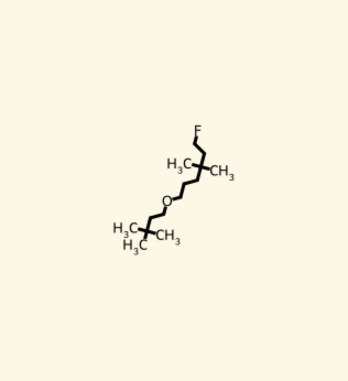 CC(C)(C)CCOCCCC(C)(C)CCF